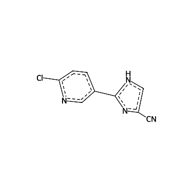 N#Cc1c[nH]c(-c2ccc(Cl)nc2)n1